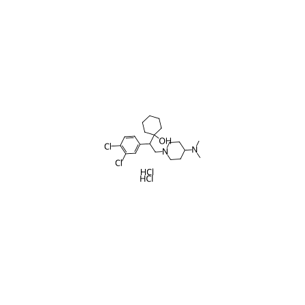 CN(C)C1CCN(CC(c2ccc(Cl)c(Cl)c2)C2(O)CCCCC2)CC1.Cl.Cl